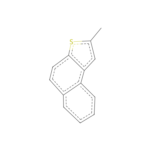 Cc1cc2c(ccc3ccccc32)s1